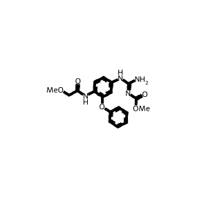 COCC(=O)Nc1ccc(NC(N)=NC(=O)OC)cc1Oc1ccccc1